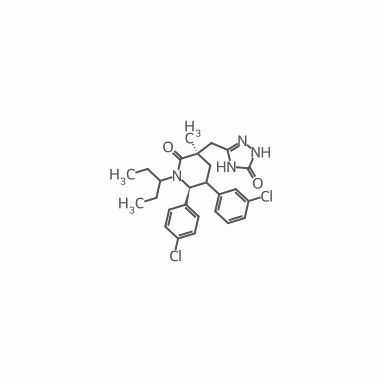 CCC(CC)N1C(=O)[C@@](C)(Cc2n[nH]c(=O)[nH]2)CC(c2cccc(Cl)c2)[C@H]1c1ccc(Cl)cc1